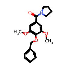 COc1cc(C(=O)N2CCCC2)cc(OC)c1OCc1ccccc1